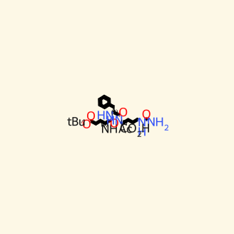 CC(=O)N[C@@H](CCC(=O)OC(C)(C)C)C(=O)N[C@@H](Cc1ccccc1)C(=O)N[C@@H](CCCNC(N)=O)C(=O)O